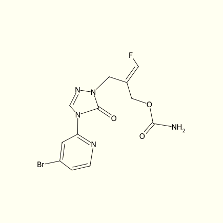 NC(=O)OC/C(=C/F)Cn1ncn(-c2cc(Br)ccn2)c1=O